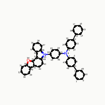 c1ccc(-c2ccc(N(c3ccc(-c4ccccc4)cc3)c3ccc(-n4c5ccccc5c5c6oc7ccccc7c6ccc54)cc3)cc2)cc1